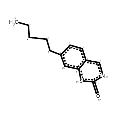 CCCCCc1ccc2cnc(=O)sc2c1